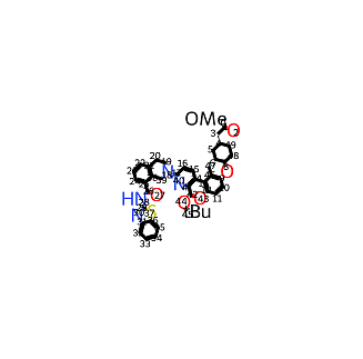 COC(=O)C[C@H]1CC[C@H](Oc2cccc(-c3ccc(N4CCc5cccc(C(=O)Nc6nc7ccccc7s6)c5C4)nc3C(=O)OC(C)(C)C)c2C)CC1